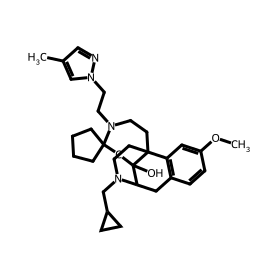 COc1ccc2c(c1)C13CCN(CC4CC4)C(C2)C1(O)CC1(CCCC1)N(CCn1cc(C)cn1)CC3